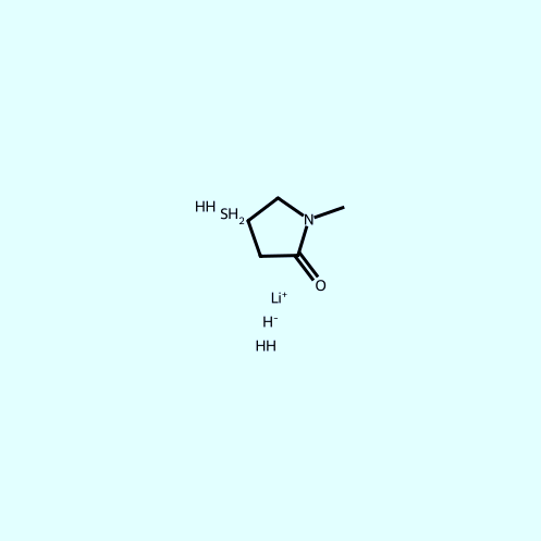 CN1CCCC1=O.S.[H-].[HH].[HH].[Li+]